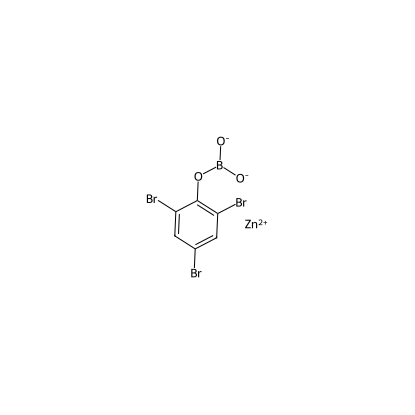 [O-]B([O-])Oc1c(Br)cc(Br)cc1Br.[Zn+2]